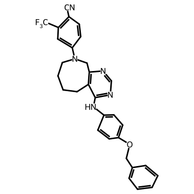 N#Cc1ccc(N2CCCCc3c(ncnc3Nc3ccc(OCc4ccccc4)cc3)C2)cc1C(F)(F)F